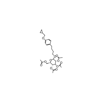 CC(=O)OC[C@H]1O[C@@H](OCCCCc2ccc(OCC3CC3)cc2)[C@H](OC(C)=O)[C@@H](OC(C)=O)[C@@H]1OC(C)=O